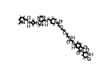 Cc1cccc(C(=O)NC2CC(n3cnc4c(NCC5CCN(C(=O)COCCOCCNC(=O)CNc6ccc7c(c6)C(=O)N([C@H]6CCC(=O)NC6=O)C7=O)CC5)ncnc43)C2)n1